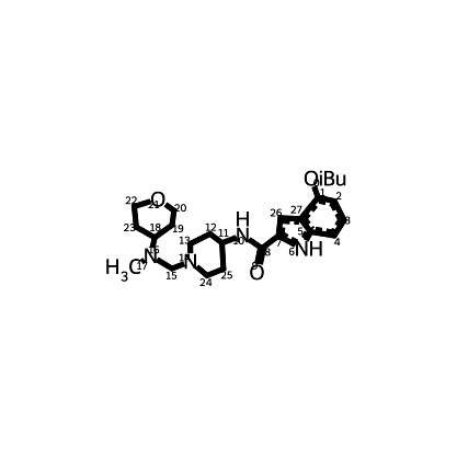 CC(C)COc1cccc2[nH]c(C(=O)NC3CCN(CN(C)C4CCOCC4)CC3)cc12